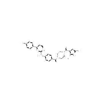 Cc1cc(C(=O)N2CCN(C(=O)c3ccc(Nc4nccc(-c5ccc(Cl)cc5)n4)cc3)CC2)c(C)[nH]1